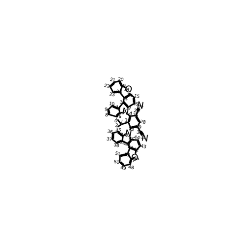 CC(C)c1c(-n2c3ccccc3c3c4c(ccc32)oc2ccccc24)c(C#N)cc(C#N)c1-n1c2ccccc2c2c3c(ccc21)oc1ccccc13